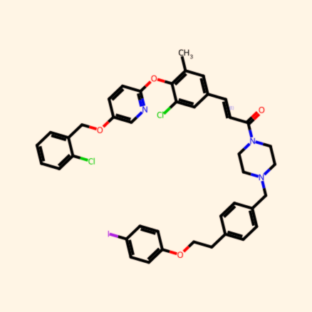 Cc1cc(/C=C/C(=O)N2CCN(Cc3ccc(CCOc4ccc(I)cc4)cc3)CC2)cc(Cl)c1Oc1ccc(OCc2ccccc2Cl)cn1